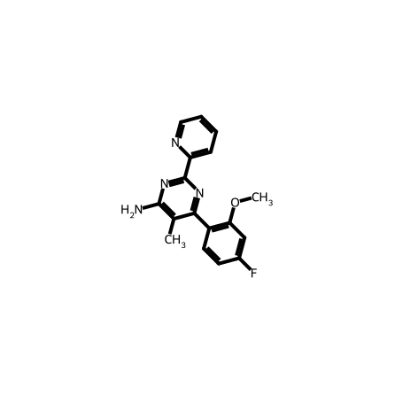 COc1cc(F)ccc1-c1nc(-c2ccccn2)nc(N)c1C